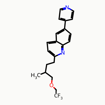 CC(CCc1ccc2cc(-c3ccncc3)ccc2n1)COCC(F)(F)F